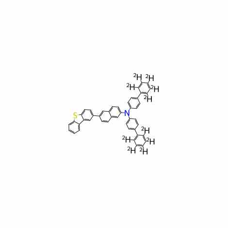 [2H]c1c([2H])c([2H])c(-c2ccc(N(c3ccc(-c4c([2H])c([2H])c([2H])c([2H])c4[2H])cc3)c3ccc4cc(-c5ccc6sc7ccccc7c6c5)ccc4c3)cc2)c([2H])c1[2H]